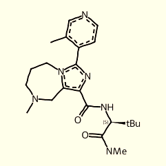 CNC(=O)[C@@H](NC(=O)c1nc(-c2ccncc2C)n2c1CN(C)CCC2)C(C)(C)C